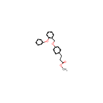 COC(=O)CCc1ccc(OCc2ccccc2Oc2ccccc2)cc1